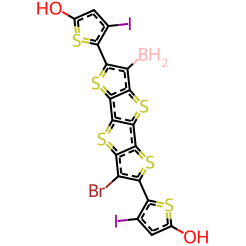 Bc1c(-c2sc(O)cc2I)sc2c1sc1c3sc(-c4sc(O)cc4I)c(Br)c3sc21